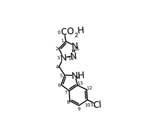 O=C(O)c1cn(Cc2cc3ccc(Cl)cc3[nH]2)nn1